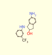 Nc1ccc2c(c1)[C@@H](Nc1cccc(C(F)(F)F)c1)[C@H](O)C2